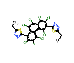 CCc1nnc(-c2c(Cl)c(Cl)c3c(Cl)c(Cl)c4c(-c5nnc(CC)s5)c(Cl)c(Cl)c(Cl)c4c3c2Cl)s1